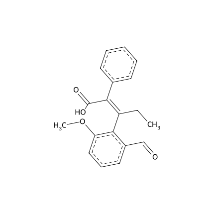 CCC(=C(C(=O)O)c1ccccc1)c1c(C=O)cccc1OC